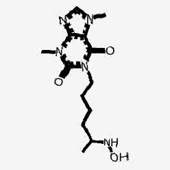 CC(CCCCn1c(=O)c2c(ncn2C)n(C)c1=O)NO